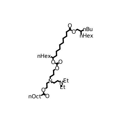 CCCCCCCCC(=O)OCCN(CCCOC(=O)OC(CCCCCC)CCCCCCCCC(=O)OCC(CCCC)CCCCCC)CCN(CC)CC